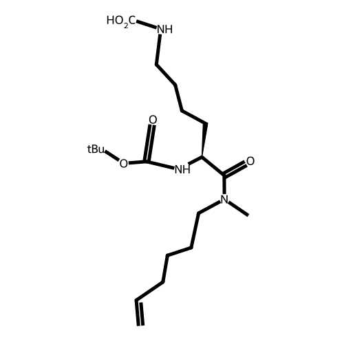 C=CCCCCN(C)C(=O)[C@H](CCCCNC(=O)O)NC(=O)OC(C)(C)C